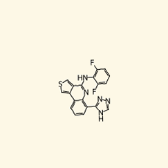 Fc1cccc(F)c1Nc1nc2c(-c3nnc[nH]3)cccc2c2cscc12